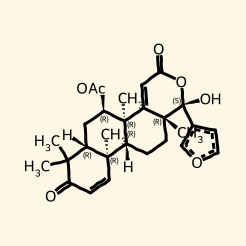 CC(=O)O[C@@H]1C[C@H]2C(C)(C)C(=O)C=C[C@]2(C)[C@H]2CC[C@]3(C)C(=CC(=O)O[C@]3(O)c3ccoc3)[C@@]21C